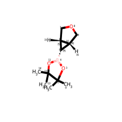 CC1(C)OB([C@@H]2[C@@H]3COC[C@@H]32)OC1(C)C